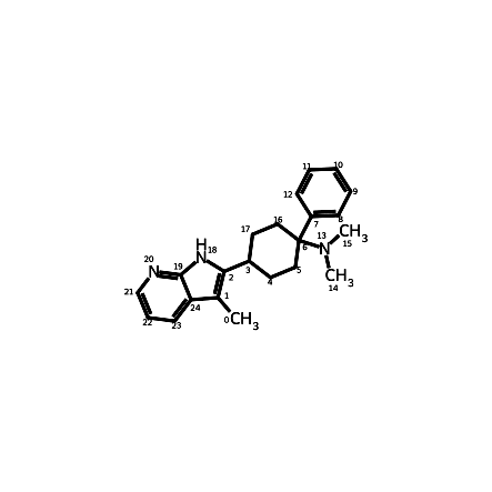 Cc1c(C2CCC(c3ccccc3)(N(C)C)CC2)[nH]c2ncccc12